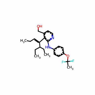 CC/C=C(/c1c(CO)ccnc1Nc1ccc(OC(C)(F)F)cc1)C(CC)CC